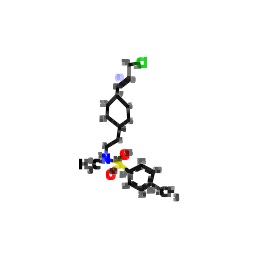 CN(CCC1CCC(/C=C/CCl)CC1)S(=O)(=O)c1ccc(C(F)(F)F)cc1